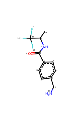 CC(NC(=O)c1ccc(CN)cc1)C(F)(F)F